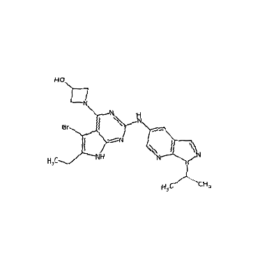 CCc1[nH]c2nc(Nc3cnc4c(cnn4C(C)C)c3)nc(N3CC(O)C3)c2c1Br